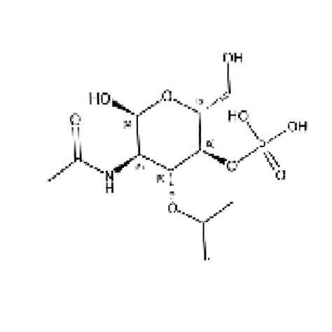 [CH2]C(C)O[C@@H]1[C@@H](NC(C)=O)[C@@H](O)O[C@H](CO)[C@H]1OP(=O)(O)O